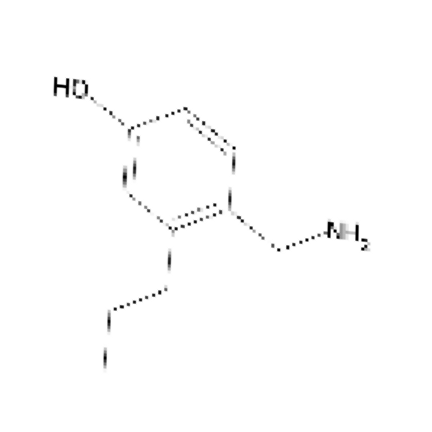 CCCc1cc(O)ccc1CN